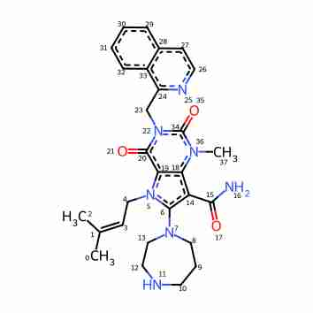 CC(C)=CCn1c(N2CCCNCC2)c(C(N)=O)c2c1c(=O)n(Cc1nccc3ccccc13)c(=O)n2C